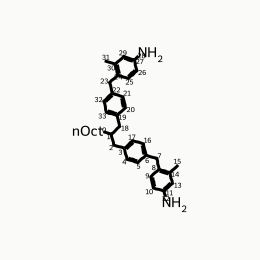 CCCCCCCCC(Cc1ccc(Cc2ccc(N)cc2C)cc1)Cc1ccc(Cc2ccc(N)cc2C)cc1